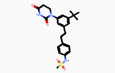 CC(C)(C)c1cc(CCc2ccc(NS(C)(=O)=O)cc2)cc(N2CCC(=O)NC2=O)c1